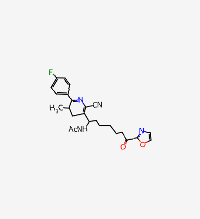 CC(=O)NC(CCCCCC(=O)c1ncco1)C1=C(C#N)N=C(c2ccc(F)cc2)C(C)C1